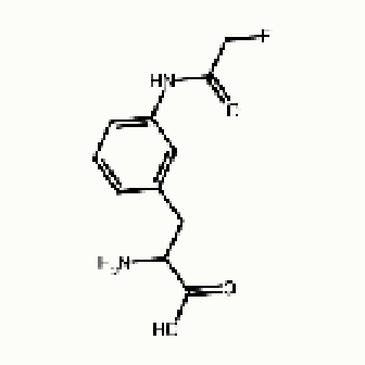 NC(Cc1cccc(NC(=O)CF)c1)C(=O)O